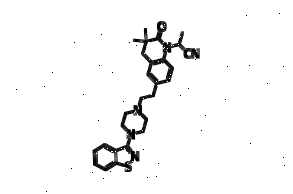 CC(C#N)N1C(=O)C(C)(C)Cc2cc(CCN3CCN(c4nsc5ccccc45)CC3)ccc21